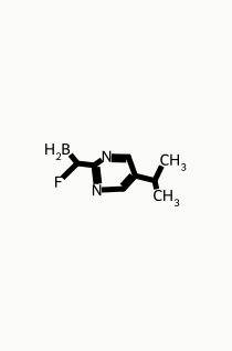 BC(F)c1ncc(C(C)C)cn1